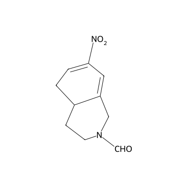 O=CN1CCC2CC=C([N+](=O)[O-])C=C2C1